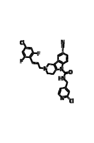 N#Cc1ccc2c(c1)c1c(n2C(=O)NCc2ccnc(Cl)c2)CCN(C/C=C/c2c(F)cc(Cl)cc2F)C1